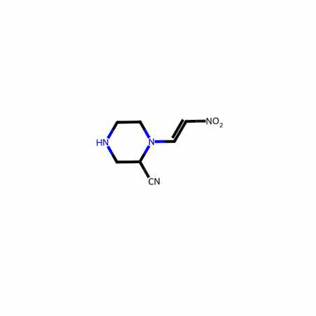 N#CC1CNCCN1C=C[N+](=O)[O-]